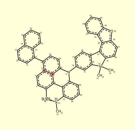 Cc1ccccc1-c1c(N(c2ccc(-c3cccc4ccccc34)cc2)c2ccc3c(c2)[Si](C)(C)c2ccc4oc5ccccc5c4c2-3)cccc1[SiH](C)C